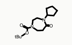 CC(C)(C)OC(=O)N1CCC(=O)N(C2CCCC2)CC1